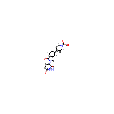 O=C1CCC(N2Cc3cc(C4=CCN(C(=O)O)CC4)ccc3C2=O)C(=O)N1